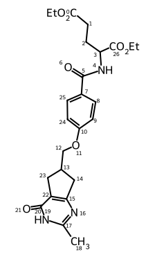 CCOC(=O)CCC(NC(=O)c1ccc(OCC2Cc3nc(C)[nH]c(=O)c3C2)cc1)C(=O)OCC